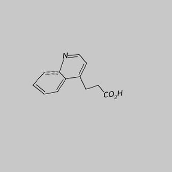 O=C(O)CCc1ccnc2ccccc12